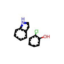 Oc1ccccc1Cl.c1ccc2[nH]ccc2c1